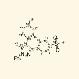 CCn1nc(-c2ccc(S(C)(=O)=O)cc2)c(-c2ccc(C)cc2)c1C